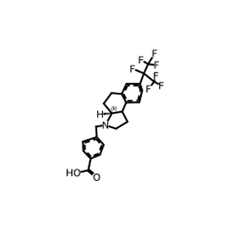 O=C(O)c1ccc(CN2CCC3c4ccc(C(F)(C(F)(F)F)C(F)(F)F)cc4CC[C@H]32)cc1